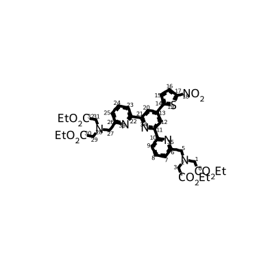 CCOC(=O)CN(CC(=O)OCC)Cc1cccc(-c2cc(-c3ccc([N+](=O)[O-])s3)cc(-c3cccc(CN(CC(=O)OCC)CC(=O)OCC)n3)n2)n1